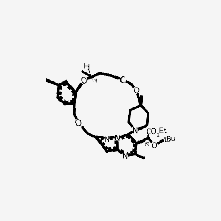 CCOC(=O)[C@@H](OC(C)(C)C)c1c(C)nc2cc3nn2c1N1CCC(C)(CC1)OCCCC[C@H](C)Oc1cc(C)ccc1COC3